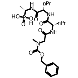 CCC[C@H](NC(=O)CN(C)C(=O)OCc1ccccc1)C(=O)N[C@@H](CCC)C(=O)N[C@@H](C)P(=O)(O)O